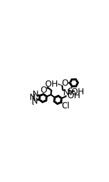 C[C@@H]1CN(Cc2cc(C(CC(=O)O)c3ccc4c(c3)nnn4C)ccc2Cl)S(O)(O)c2ccccc2O1